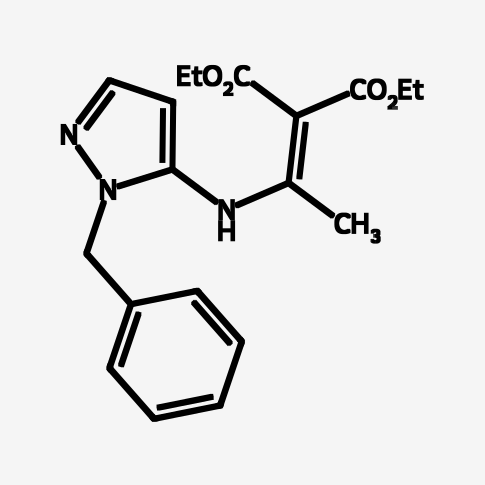 CCOC(=O)C(C(=O)OCC)=C(C)Nc1ccnn1Cc1ccccc1